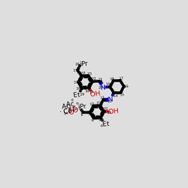 CC(=O)[O-].CC(=O)[O-].CCc1cc(CC(C)C)cc(C=NC2CCCCC2N=Cc2cc(CC(C)C)cc(CC)c2O)c1O.[Co+2]